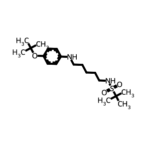 CC(C)(C)Oc1ccc(NCCCCCNS(=O)(=O)C(C)(C)C)cc1